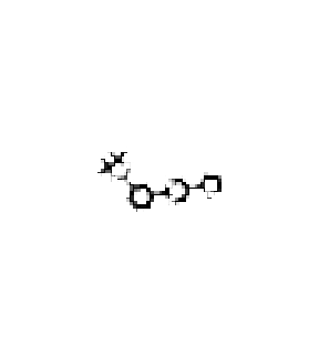 CC1(C)OB(c2cccc(-c3ncc(C4C=CCO4)cn3)c2)OC1(C)C